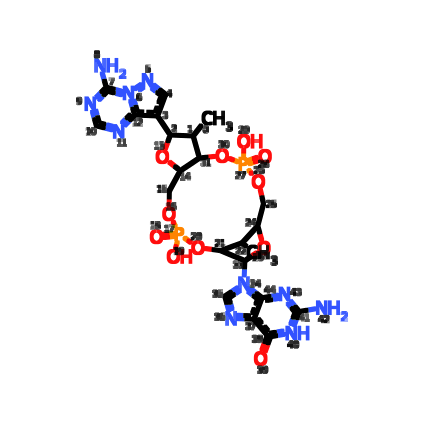 CC1C(c2cnn3c(N)ncnc23)OC2COP(=O)(O)OC3C(C)C(COP(=O)(O)OC21)OC3n1cnc2c(=O)[nH]c(N)nc21